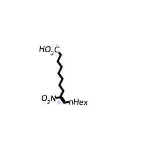 CCCCCC/C=C(\CCCCCCCC(=O)O)[N+](=O)[O-]